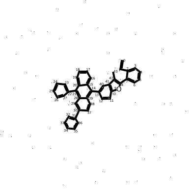 C=Cc1ccccc1-c1oc2ccc(-c3c4ccccc4c(-c4ccccc4)c4cc(-c5ccccc5)ccc34)cc2c1C